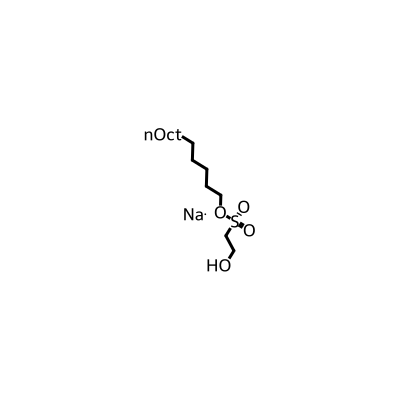 CCCCCCCCCCCCCOS(=O)(=O)CCO.[Na]